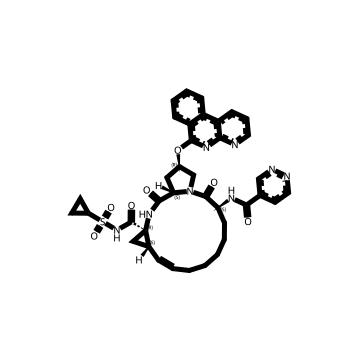 O=C(N[C@H]1CCCCCC=C[C@@H]2C[C@@]2(C(=O)NS(=O)(=O)C2CC2)NC(=O)[C@@H]2C[C@@H](Oc3nc4ncccc4c4ccccc34)CN2C1=O)c1ccnnc1